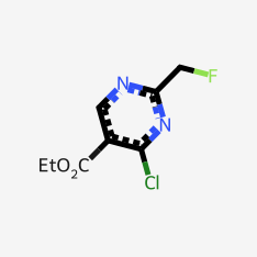 CCOC(=O)c1cnc(CF)nc1Cl